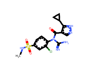 CNS(=O)(=O)c1ccc(N(C(=N)N)C(=O)c2cn[nH]c2C2CC2)c(Cl)c1